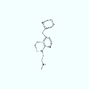 CNCCN1CCCc2c(Cc3ccccn3)ccnc21